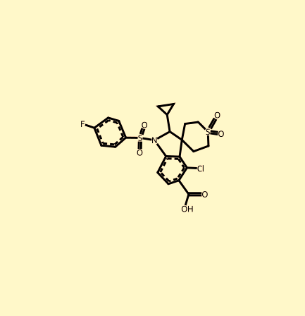 O=C(O)c1ccc2c(c1Cl)C1(CCS(=O)(=O)CC1)C(C1CC1)N2S(=O)(=O)c1ccc(F)cc1